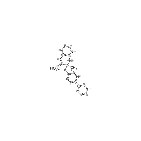 CC1(Cc2ccc(-c3ccccc3)nc2)Nc2ncccc2C=C1C(=O)O